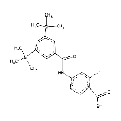 C[Si](C)(C)c1cc(C(=O)Nc2ccc(C(=O)O)c(F)c2)cc([Si](C)(C)C)c1